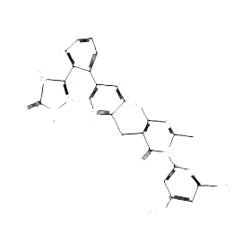 CCCCc1nc(C)n(-c2cc(OC)cc(OC)n2)c(=O)c1Cc1ccc(-c2ccccc2-c2noc(=O)[nH]2)cn1